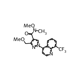 COCc1nn(-c2ccnc3c(C(F)(F)F)cccc23)cc1C(=O)N(C)OC